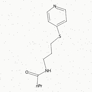 CCCC(=O)NCCCSc1ccncc1